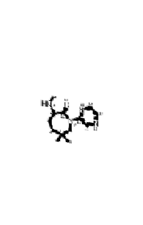 CNC1CCC(C)(C)CN(c2cnccn2)C1=O